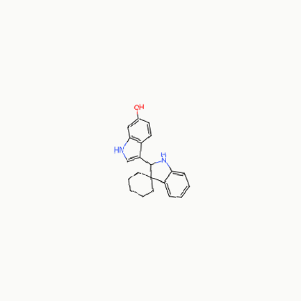 Oc1ccc2c(C3Nc4ccccc4C34CCCCC4)c[nH]c2c1